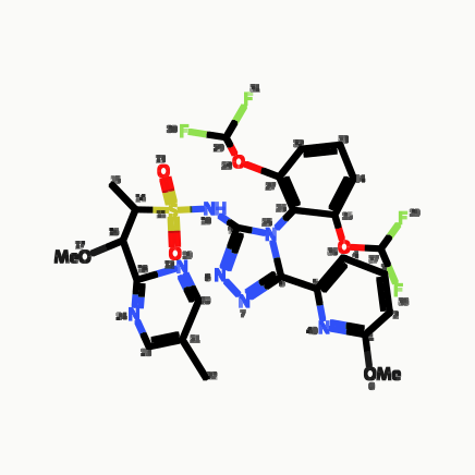 COc1cccc(-c2nnc(NS(=O)(=O)C(C)C(OC)c3ncc(C)cn3)n2-c2c(OC(F)F)cccc2OC(F)F)n1